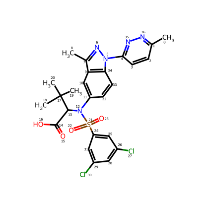 Cc1ccc(-n2nc(C)c3cc(N(C(C(=O)O)C(C)(C)C)S(=O)(=O)c4cc(Cl)cc(Cl)c4)ccc32)nn1